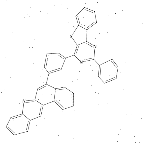 c1ccc(-c2nc(-c3cccc(-c4cc5nc6ccccc6cc5c5ccccc45)c3)c3sc4ccccc4c3n2)cc1